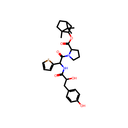 CC1(C)C2CCC1(C)C(OC(=O)C1CCCN1C(=O)C(NC(=O)C(O)Cc1ccc(O)cc1)c1cccs1)C2